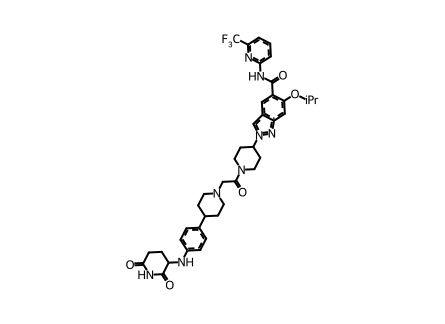 CC(C)Oc1cc2nn(C3CCN(C(=O)CN4CCC(c5ccc(NC6CCC(=O)NC6=O)cc5)CC4)CC3)cc2cc1C(=O)Nc1cccc(C(F)(F)F)n1